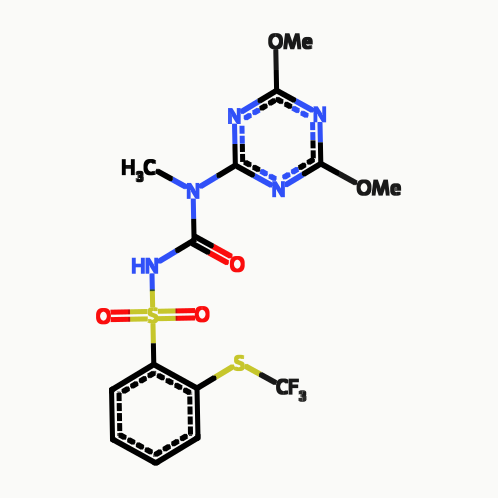 COc1nc(OC)nc(N(C)C(=O)NS(=O)(=O)c2ccccc2SC(F)(F)F)n1